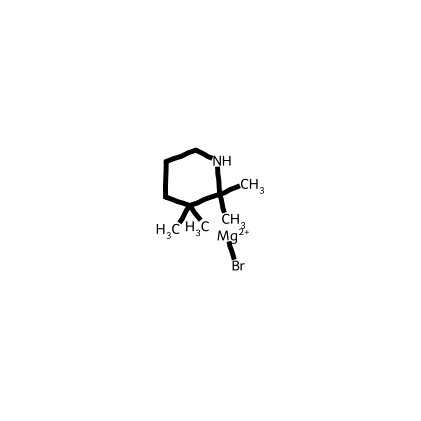 CC1(C)CCCNC1(C)C.[Mg+2][Br]